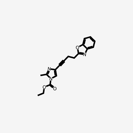 CCOC(=O)n1cc(C#CCCc2nc3ccccc3o2)nc1C